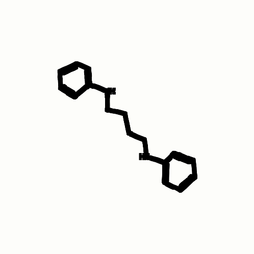 c1ccc(NCCCCNc2ccccc2)cc1